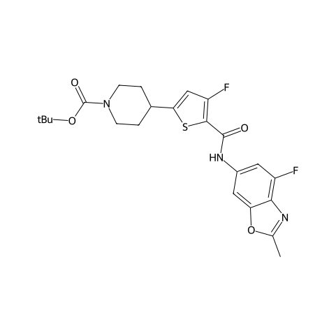 Cc1nc2c(F)cc(NC(=O)c3sc(C4CCN(C(=O)OC(C)(C)C)CC4)cc3F)cc2o1